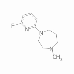 CN1CCCN(c2cccc(F)n2)CC1